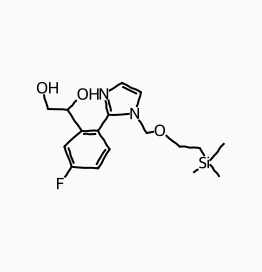 C[Si](C)(C)CCOCn1ccnc1-c1ccc(F)cc1C(O)CO